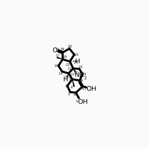 C[C@]12CCC(O)C(O)=C1CC[C@]1(N)[C@@H]2CC[C@]2(C)C(=O)CC[C@@H]12